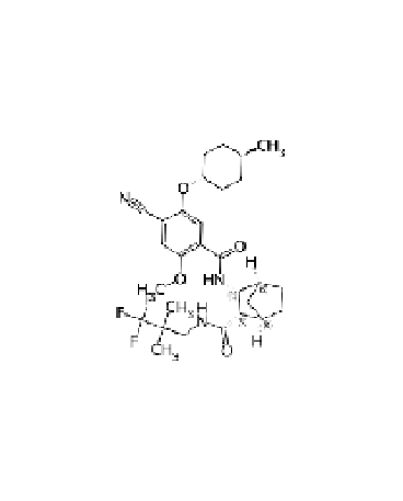 COc1cc(C#N)c(O[C@H]2CC[C@H](C)CC2)cc1C(=O)N[C@@H]1[C@H]2CC[C@H](C2)[C@@H]1C(=O)NCC(C)(C)C(F)(F)F